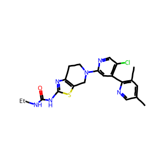 CCNC(=O)Nc1nc2c(s1)CN(c1cc(-c3ncc(C)cc3C)c(Cl)cn1)CC2